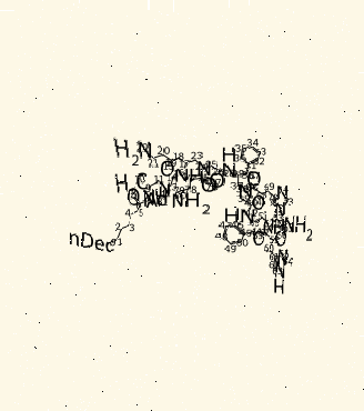 CCCCCCCCCCCCCCCC(=O)N[C@@H](C)CN(CC(=O)N[C@@H](CCCCN)CN(CC(=O)N[C@@H](Cc1ccccc1)CN(CC(=O)N[C@@H](Cc1ccccc1)CN(CC(N)=O)C(=O)CCc1c[nH]cn1)C(=O)CCc1c[nH]cn1)C(=O)CCCN)C(C)=O